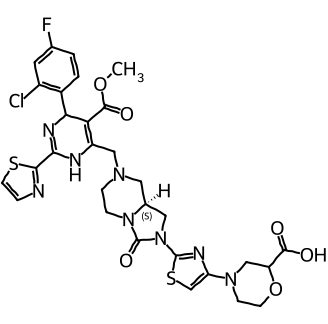 COC(=O)C1=C(CN2CCN3C(=O)N(c4nc(N5CCOC(C(=O)O)C5)cs4)C[C@@H]3C2)NC(c2nccs2)=NC1c1ccc(F)cc1Cl